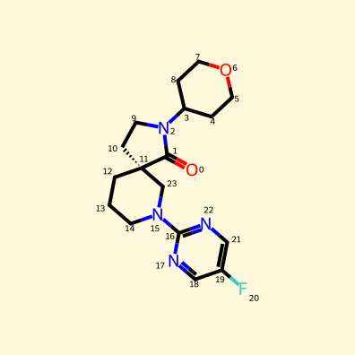 O=C1N(C2CCOCC2)CC[C@]12CCCN(c1ncc(F)cn1)C2